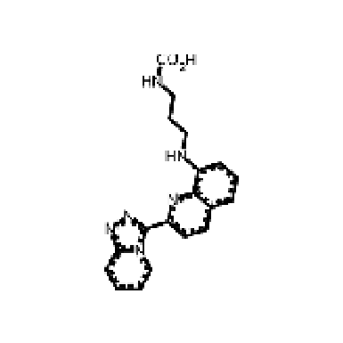 O=C(O)NCCCNc1cccc2ccc(-c3nnc4ccccn34)nc12